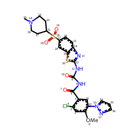 COc1cc(Cl)c(C(=O)NC(=O)Nc2nc3ccc(S(=O)(=O)C4CCN(C)CC4)cc3s2)cc1-n1cccn1